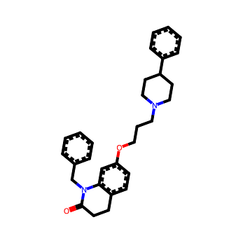 O=C1CCc2ccc(OCCCN3CCC(c4ccccc4)CC3)cc2N1Cc1ccccc1